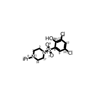 CC(C)N1CCN(S(=O)(=O)c2cc(Cl)cc(Cl)c2O)CC1